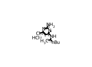 CCCCC(C)Nc1cc(Cl)nc(N)n1.Cl